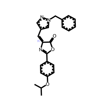 CC(C)Oc1ccc(C2=N/C(=C/c3cnn(Cc4ccccc4)c3)C(=O)O2)cc1